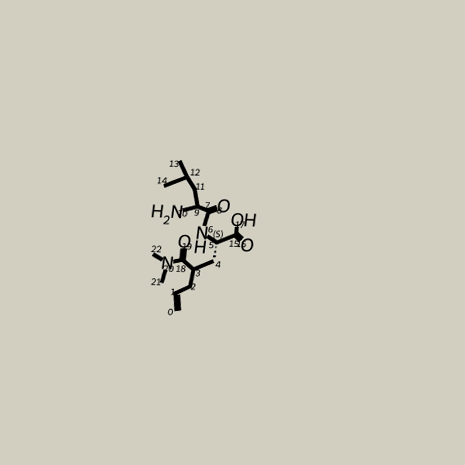 C=CCC(C[C@H](NC(=O)C(N)CC(C)C)C(=O)O)C(=O)N(C)C